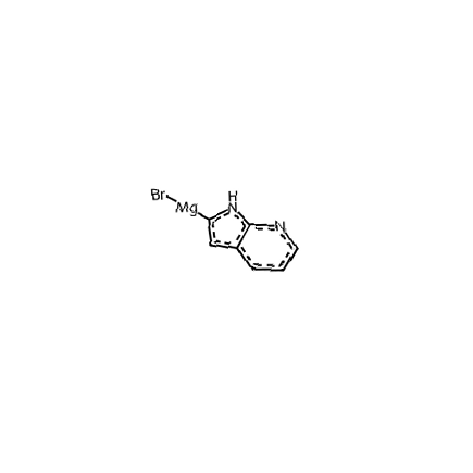 [Br][Mg][c]1cc2cccnc2[nH]1